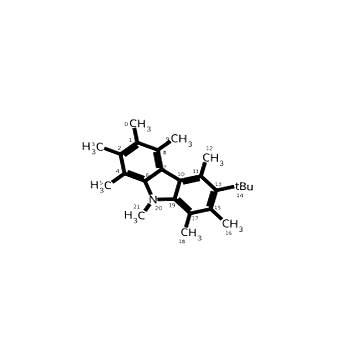 Cc1c(C)c(C)c2c(c1C)c1c(C)c(C(C)(C)C)c(C)c(C)c1n2C